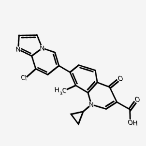 Cc1c(-c2cc(Cl)c3nccn3c2)ccc2c(=O)c(C(=O)O)cn(C3CC3)c12